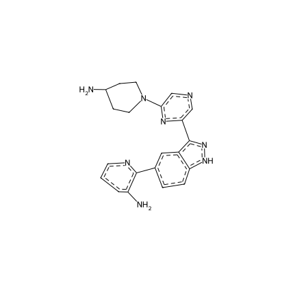 Nc1cccnc1-c1ccc2[nH]nc(-c3cncc(N4CCC(N)CC4)n3)c2c1